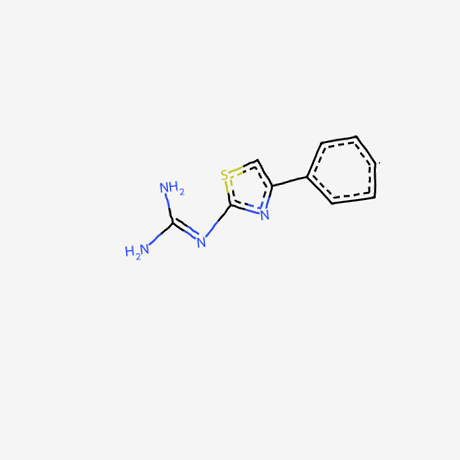 NC(N)=Nc1nc(-c2cc[c]cc2)cs1